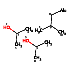 CC(C)O.CC(C)O.CC(C)[CH2][Al]